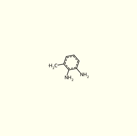 [CH2]c1cccc(N)c1N